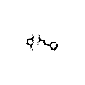 O=C(/C=C/c1cccnc1)ON1C(=O)CCC1=O